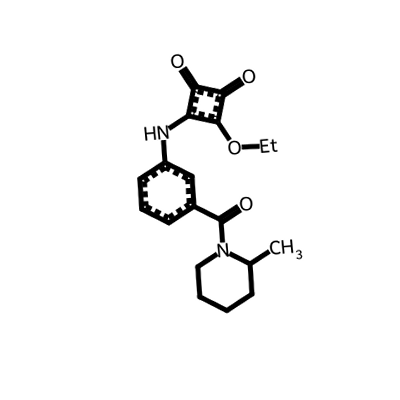 CCOc1c(Nc2cccc(C(=O)N3CCCCC3C)c2)c(=O)c1=O